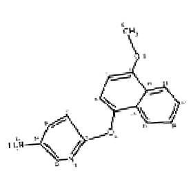 COc1ccc(Oc2ccc(N)cn2)c2ccccc12